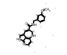 COc1cccc(CNC(=O)C2=Cc3c[nH]c4nccc(c34)NC2)c1